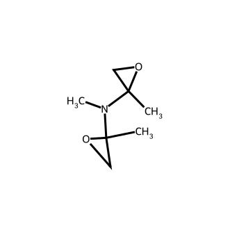 CN(C1(C)CO1)C1(C)CO1